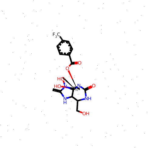 C=C1NC2C(CO)NC(=O)N3C[C@H](OC(=O)c4ccc(C(F)(F)F)cc4)[C@](C)(O)C23N1O